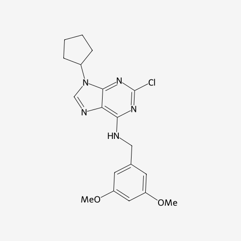 COc1cc(CNc2nc(Cl)nc3c2ncn3C2CCCC2)cc(OC)c1